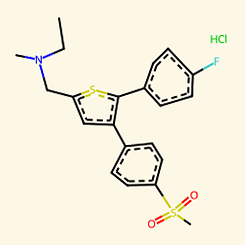 CCN(C)Cc1cc(-c2ccc(S(C)(=O)=O)cc2)c(-c2ccc(F)cc2)s1.Cl